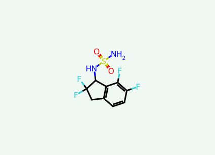 NS(=O)(=O)NC1c2c(ccc(F)c2F)CC1(F)F